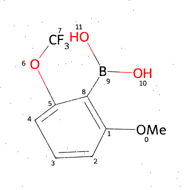 COc1cccc(OC(F)(F)F)c1B(O)O